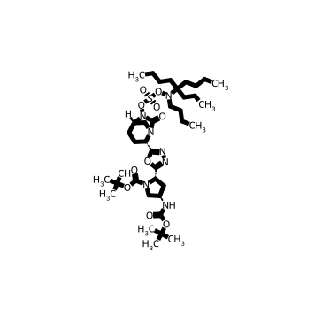 CCCCN(OS(=O)(=O)ON1C(=O)N2C[C@@H]1CC[C@H]2c1nnc([C@@H]2C[C@H](NC(=O)OC(C)(C)C)CN2C(=O)OC(C)(C)C)o1)C(CCC)(CCCC)CCCC